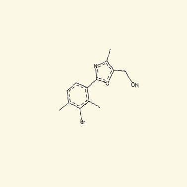 Cc1ccc(-c2nc(C)c(CO)o2)c(C)c1Br